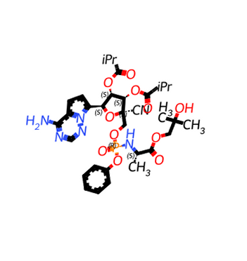 CC(C)C(=O)O[C@H]1[C@H](c2ccc3c(N)ncnn23)O[C@](C#N)(CO[P@](=O)(N[C@@H](C)C(=O)OCC(C)(C)O)Oc2ccccc2)[C@H]1OC(=O)C(C)C